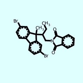 CCC(CN1C(=O)c2ccccc2C1=O)C1(C)c2cc(Br)ccc2-c2ccc(Br)cc21